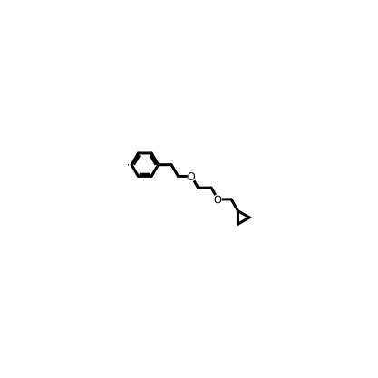 [c]1ccc(CCOCCOCC2CC2)cc1